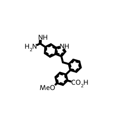 COc1ccc(-c2ccccc2Cc2c[nH]c3cc(C(=N)N)ccc23)c(C(=O)O)c1